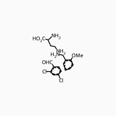 COc1ccccc1CN.NCCC(N)C(=O)O.O=Cc1ccc(Cl)cc1Cl